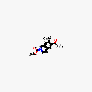 COC(=O)c1cc2c(cc1OC)CN(C(=O)OC(C)(C)C)CC2